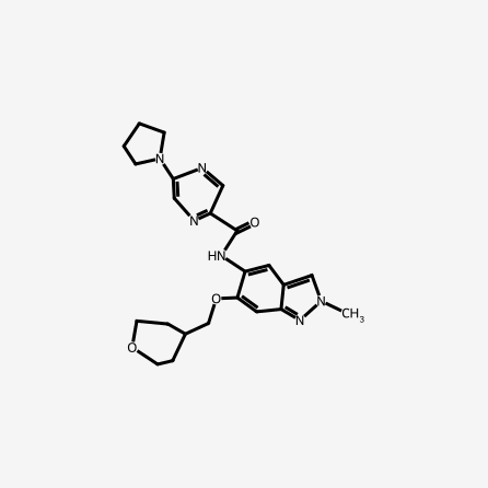 Cn1cc2cc(NC(=O)c3cnc(N4CCCC4)cn3)c(OCC3CCOCC3)cc2n1